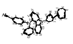 N#Cc1ccc(N(c2ccccc2)c2cccc3c2c2ccccc2n3-c2ccc(-c3ccccc3)cc2)cc1